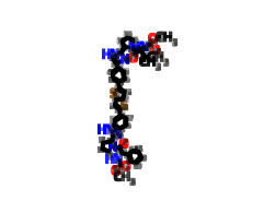 COC(=O)NC(C(=O)N1CCCC1c1nc2ccc(-c3cc4sc(-c5ccc(-c6c[nH]c(C7CCCN7C(=O)[C@@H](NC(=O)OC)C(C)C)n6)cc5)cc4s3)cc2[nH]1)c1ccccc1